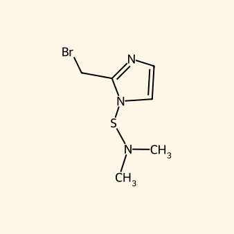 CN(C)Sn1ccnc1CBr